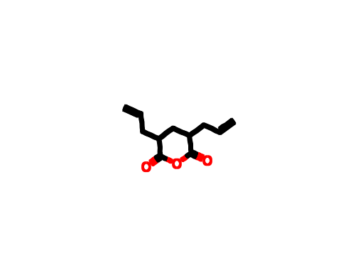 C=CCC1CC(CC=C)C(=O)OC1=O